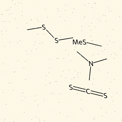 CN(C)C.CSC.CSSC.S=C=S